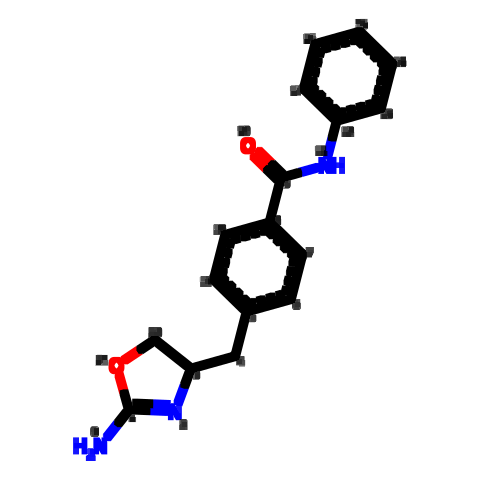 NC1=NC(Cc2ccc(C(=O)Nc3ccccc3)cc2)CO1